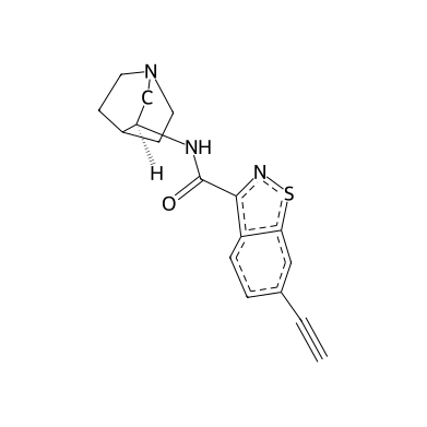 C#Cc1ccc2c(C(=O)N[C@@H]3CN4CCC3CC4)nsc2c1